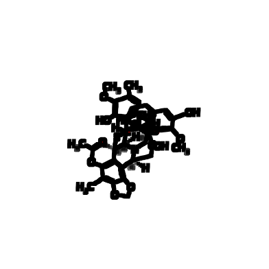 COc1cc2c(cc1O)CCN[C@@]21CS[C@@H]2c3c(OC(C)=O)c(C)c4c(c3[C@H](COC1=O)N1[C@@H]2[C@@H]2c3c(cc(C)c(OC)c3O)C[C@H]([C@@H]1O)N2C)OCO4